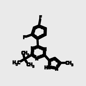 Cc1cc(-c2nc(-c3ccc(F)cc3F)nc(C(C)(C)C)n2)[nH]n1